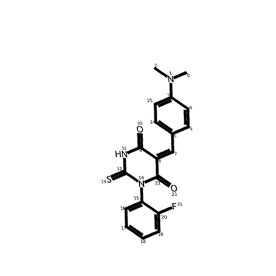 CN(C)c1ccc(/C=C2\C(=O)NC(=S)N(c3ccccc3F)C2=O)cc1